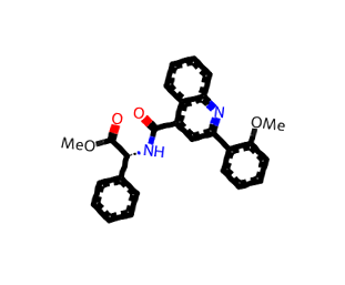 COC(=O)[C@H](NC(=O)c1cc(-c2ccccc2OC)nc2ccccc12)c1ccccc1